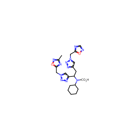 Cc1noc(Cn2cc(C(Cc3cn(Cc4ncno4)nn3)N(C(=O)O)C3CCCCC3)nn2)n1